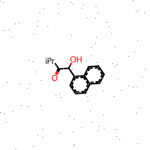 CC(C)C(=O)C(O)c1cccc2ccccc12